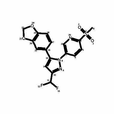 CS(=O)(=O)c1ccc(-n2nc(C(F)F)cc2-c2ccc3c(c2)OCO3)cn1